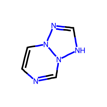 C1=CN2N=CNN2C=N1